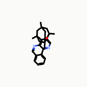 CC12CC3(C)CC(C)(C1)c1cnc4c(ncc5ccccc54)c1C(C)(C2)C3